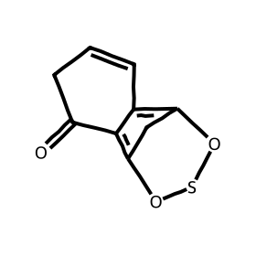 O=C1CC=CC2=C3CC(=C12)OSO3